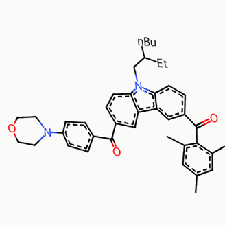 CCCCC(CC)Cn1c2ccc(C(=O)c3ccc(N4CCOCC4)cc3)cc2c2cc(C(=O)c3c(C)cc(C)cc3C)ccc21